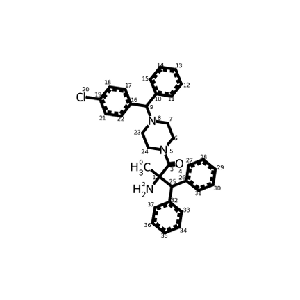 CC(N)(C(=O)N1CCN(C(c2ccccc2)c2ccc(Cl)cc2)CC1)C(c1ccccc1)c1ccccc1